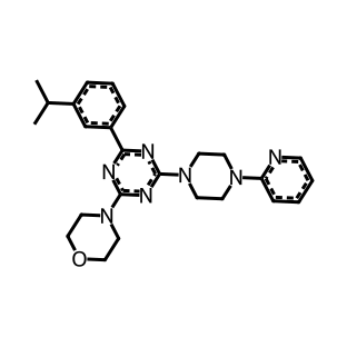 CC(C)c1cccc(-c2nc(N3CCOCC3)nc(N3CCN(c4ccccn4)CC3)n2)c1